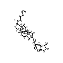 CC(C)CCC[C@@H](C)[C@H]1CC[C@H]2[C@@H]3CC=C4CC(OCC(=O)ON5C(=O)CCC5=O)CC[C@]4(C)[C@H]3CC[C@]12C